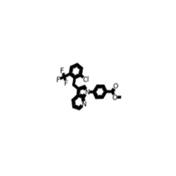 COC(=O)c1ccc(-n2cc(Cc3c(Cl)cccc3C(F)(F)F)c3cccnc32)cc1